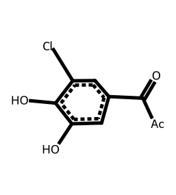 CC(=O)C(=O)c1cc(O)c(O)c(Cl)c1